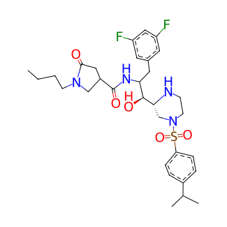 CCCCN1CC(C(=O)NC(Cc2cc(F)cc(F)c2)[C@H](O)[C@H]2CN(S(=O)(=O)c3ccc(C(C)C)cc3)CCN2)CC1=O